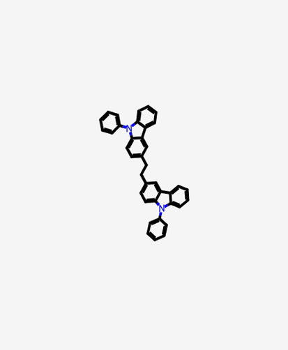 c1ccc(-n2c3ccccc3c3cc(CCc4ccc5c(c4)c4ccccc4n5-c4ccccc4)ccc32)cc1